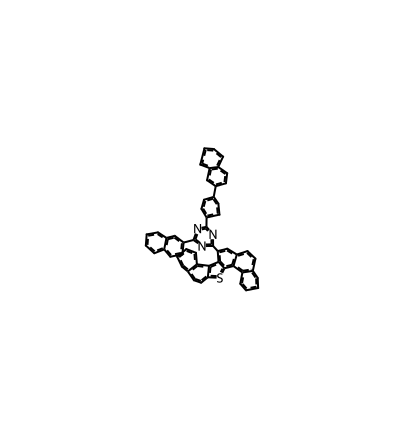 c1ccc2cc(-c3ccc(-c4nc(-c5ccc6ccccc6c5)nc(-c5cc6ccc7ccccc7c6c6sc7ccc8ccccc8c7c56)n4)cc3)ccc2c1